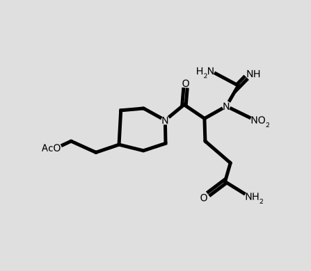 CC(=O)OCCC1CCN(C(=O)C(CCC(N)=O)N(C(=N)N)[N+](=O)[O-])CC1